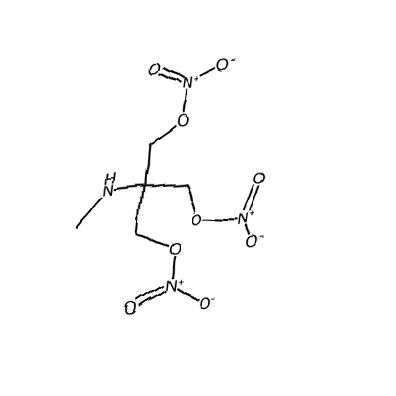 CNC(CO[N+](=O)[O-])(CO[N+](=O)[O-])CO[N+](=O)[O-]